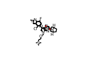 Cn1cc2c(Cl)c(-c3cn(COCC[Si](C)(C)C)c4nc(N5[C@@H]6CC[C@H]5C[C@@H](NC(=O)O)C6)cnc34)cc(F)c2n1